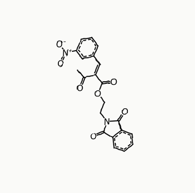 CC(=O)C(=Cc1cccc([N+](=O)[O-])c1)C(=O)OCCN1C(=O)c2ccccc2C1=O